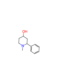 CN1CCC(O)CC1c1ccccc1